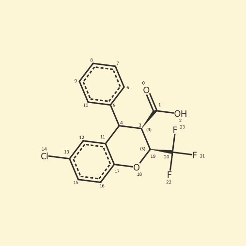 O=C(O)[C@@H]1C(c2ccccc2)c2cc(Cl)ccc2O[C@@H]1C(F)(F)F